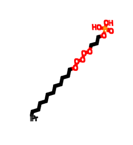 CC(C)CCCCCCCCCCCOOOOOCCCOP(=O)(O)O